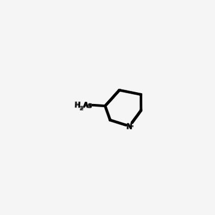 [AsH2]C1CCC[N]C1